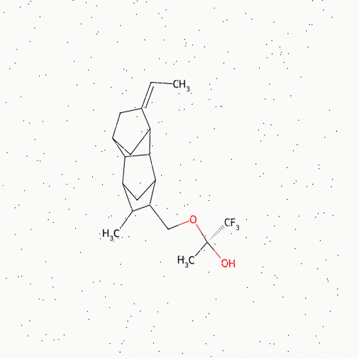 C/C=C1/CC2CC1C1C3CC(C(C)C3CO[C@](C)(O)C(F)(F)F)C21